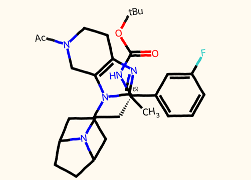 CC(=O)N1CCc2nc(C)n(C3CC4CCC(C3)N4CC[C@H](NC(=O)OC(C)(C)C)c3cccc(F)c3)c2C1